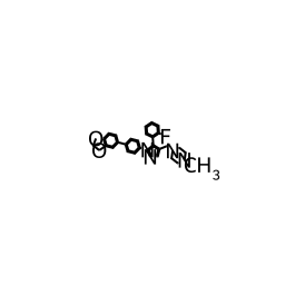 CN1CCN(Cc2cnn(-c3ccc(-c4ccc5c(c4)OCO5)cc3)c2-c2ccccc2F)CC1